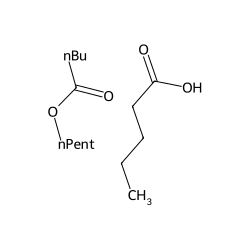 CCCCC(=O)O.CCCCCOC(=O)CCCC